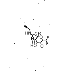 C#CCNC1=N[C@@H]2[C@@H](O)[C@H](O)[C@@H](C(F)F)O[C@@H]2S1